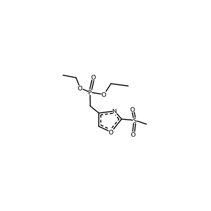 CCOP(=O)(Cc1coc(S(C)(=O)=O)n1)OCC